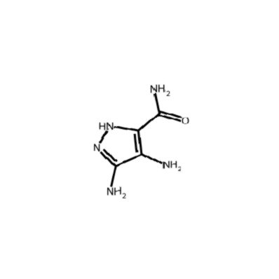 NC(=O)c1[nH]nc(N)c1N